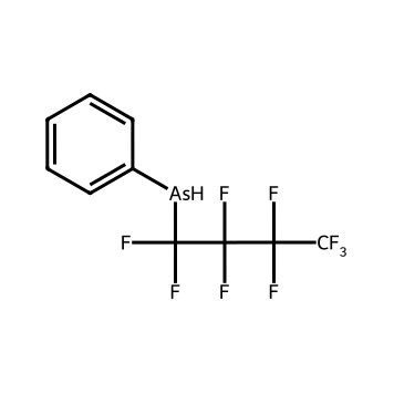 FC(F)(F)C(F)(F)C(F)(F)C(F)(F)[AsH]c1ccccc1